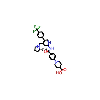 C[C@@H]1CCCN1Cc1cc(NC(=O)c2ccc(N3CCC(C(=O)O)CC3)cc2)ncc1-c1ccc(C(F)(F)F)cc1